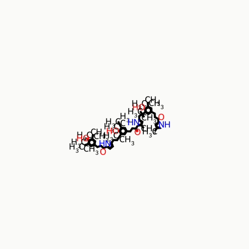 Cc1c[nH]c(C(=O)CCc2cc(C(C)(C)C)c(O)c(C(C)(C)Cc3cc(C)c(C(=O)CCc4cc(C(C)(C)C)c(O)c(C(C)(C)CCc5ccc(C(=O)CCc6cc(C(C)(C)C)c(O)c(C(C)(C)C)c6)[nH]5)c4)[nH]3)c2)c1